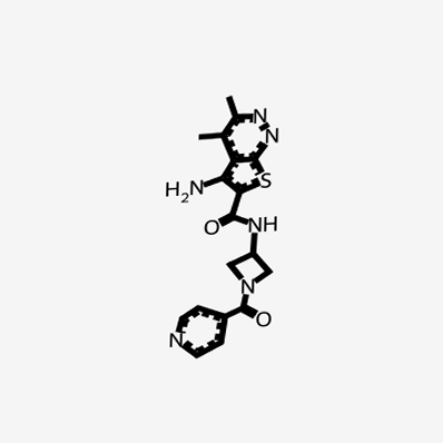 Cc1nnc2sc(C(=O)NC3CN(C(=O)c4ccncc4)C3)c(N)c2c1C